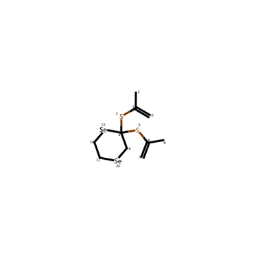 C=C(C)SC1(SC(=C)C)C[Se]CC[Se]1